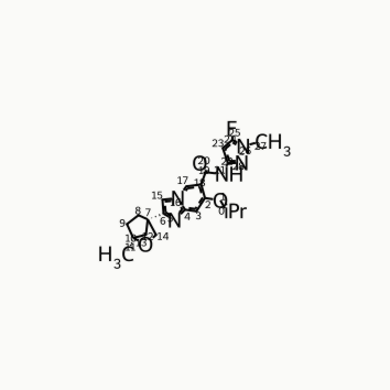 CC(C)Oc1cc2nc([C@@]34CC[C@@](C)(C3)OC4)cn2cc1C(=O)Nc1cc(F)n(C)n1